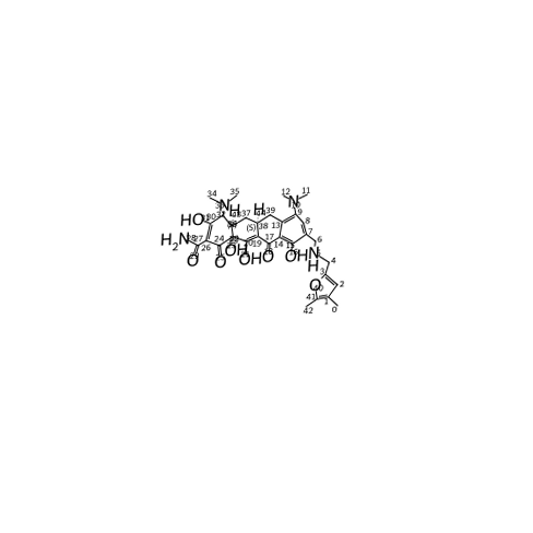 Cc1cc(CNCc2cc(N(C)C)c3c(c2O)C(=O)C2=C(O)[C@@]4(O)C(=O)C(C(N)=O)=C(O)C(N(C)C)[C@H]4C[C@H]2C3)oc1C